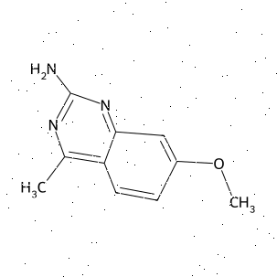 COc1ccc2c(C)nc(N)nc2c1